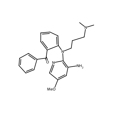 COc1cnc(N(CCCN(C)C)c2ccccc2C(=O)c2ccccc2)c(N)c1